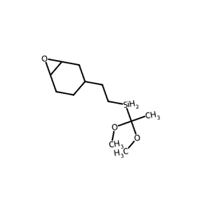 COC(C)(OC)[SiH2]CCC1CCC2OC2C1